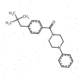 CC(C)(C)Cc1ccc(C(=O)N2CCN(c3ccccc3)CC2)cc1